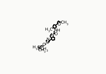 Cc1ccc(-c2ccc(C)c(NCC(=O)N3CCc4c(-c5cn(COCC[Si](C)(C)C)cn5)cccc43)c2)o1